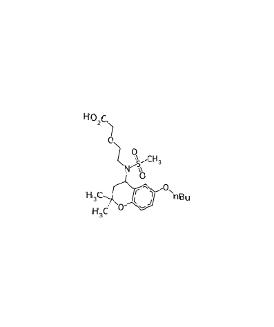 CCCCOc1ccc2c(c1)C(N(CCOCC(=O)O)S(C)(=O)=O)CC(C)(C)O2